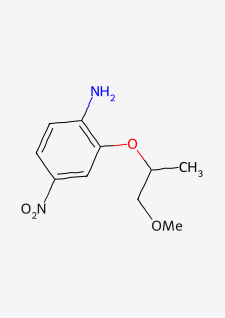 COCC(C)Oc1cc([N+](=O)[O-])ccc1N